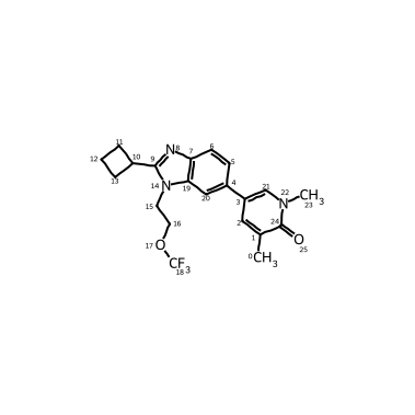 Cc1cc(-c2ccc3nc(C4CCC4)n(CCOC(F)(F)F)c3c2)cn(C)c1=O